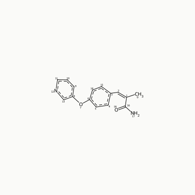 CC(=Cc1ccc(Oc2cccnc2)cc1)C(N)=O